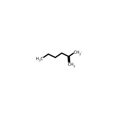 [CH2]C(=C)CCCC